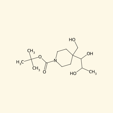 CC(O)C(O)C1(CO)CCN(C(=O)OC(C)(C)C)CC1